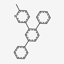 Cc1ccc(-c2cc(-c3ccccc3)ccc2-c2ccccc2)cn1